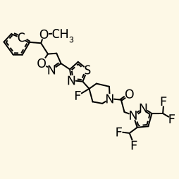 COC(c1ccccc1)C1CC(c2csc(C3(F)CCN(C(=O)Cn4nc(C(F)F)cc4C(F)F)CC3)n2)=NO1